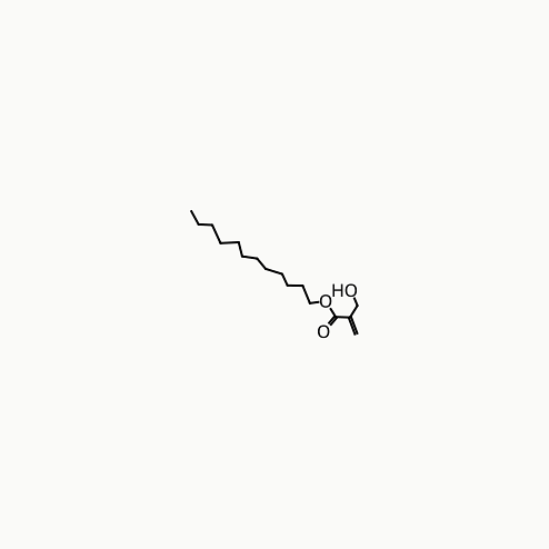 C=C(CO)C(=O)OCCCCCCCCCCCC